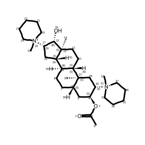 CC(=O)O[C@H]1C[C@@H]2CC[C@@H]3[C@H](CC[C@]4(C)[C@@H](O)[C@@H]([N+]5(C)CCCCC5)C[C@@H]34)[C@@]2(C)C[C@@H]1[N+]1(C)CCCCC1